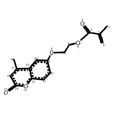 C=C(C)C(=O)OCCOc1ccc2oc(=O)cc(C)c2c1